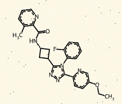 CCOc1ccc(-c2nnc(C3CC(NC(=O)c4ncccc4C)C3)n2-c2ccccc2F)nc1